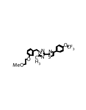 COCCOc1cccc(Cn2nc(-c3nc(-c4ccc(OC(F)(F)F)cc4)cs3)nc2C)c1